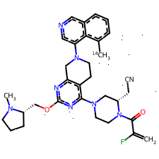 C=C(F)C(=O)N1CCN(c2nc(OC[C@@H]3CCCN3C)nc3c2CCN(c2cncc4cccc([14CH3])c24)C3)C[C@@H]1CC#N